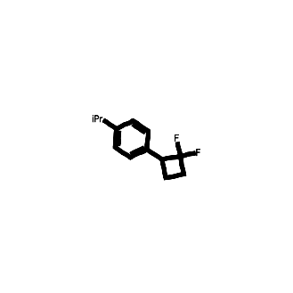 CC(C)c1ccc(C2CCC2(F)F)cc1